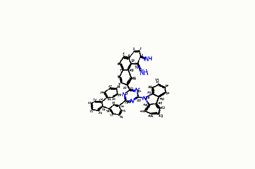 N=C1C=Cc2ccc3ccc(-c4nc(-c5cccc(-c6ccccc6-c6ccccc6)c5)nc(-n5c6ccccc6c6ccccc65)n4)cc3c2C1=N